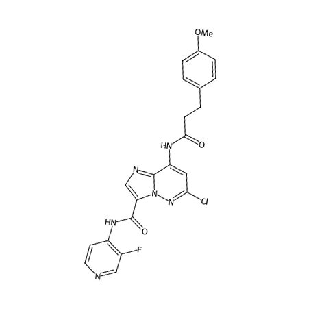 COc1ccc(CCC(=O)Nc2cc(Cl)nn3c(C(=O)Nc4ccncc4F)cnc23)cc1